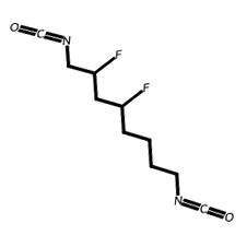 O=C=NCCCCC(F)CC(F)CN=C=O